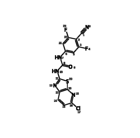 N#Cc1c(F)cc(NC(=O)Nc2nc3ccc(Cl)nc3s2)cc1F